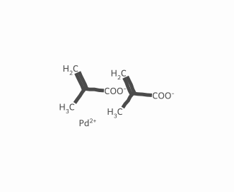 C=C(C)C(=O)[O-].C=C(C)C(=O)[O-].[Pd+2]